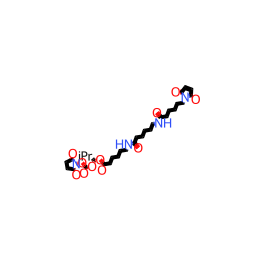 CC(C)C(OC(=O)CCCCCNC(=O)CCCCCNC(=O)CCCCCN1C(=O)C=CC1=O)OC(=O)ON1C(=O)CCC1=O